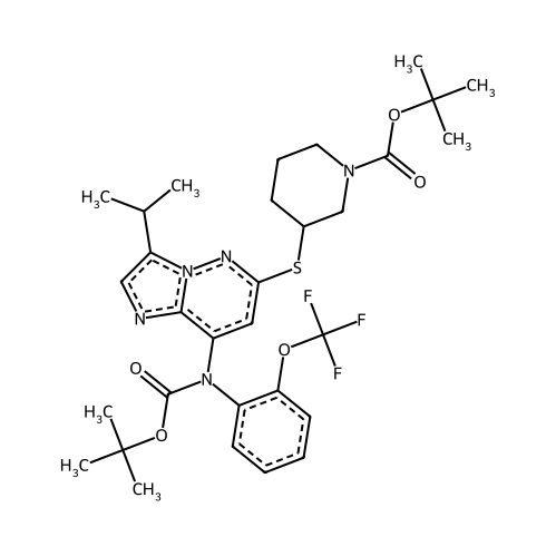 CC(C)c1cnc2c(N(C(=O)OC(C)(C)C)c3ccccc3OC(F)(F)F)cc(SC3CCCN(C(=O)OC(C)(C)C)C3)nn12